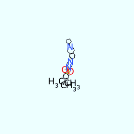 CC(C)(C)c1ccc(S(=O)(=O)N2CCN(c3ccc4c(c3)CCN(C3CCCC3)CC4)CC2)cc1